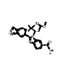 CNC(=O)c1ccc2nc(-c3ccc4cn[nH]c4c3)n([C@@H](CC(=O)OC)C(C)(C)C)c2c1